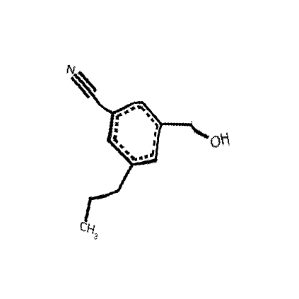 CCCc1cc(C#N)cc([CH]O)c1